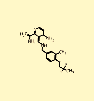 C=C(N)C1=NC=CC(N)/C1=C\NCc1ccc(CCC(C)(F)F)c(C)c1